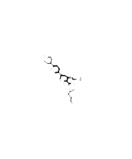 CCCCC(CO)Nc1nc(N)nc2cc(-c3ccc(C4CCN(C)CC4)nc3)cnc12